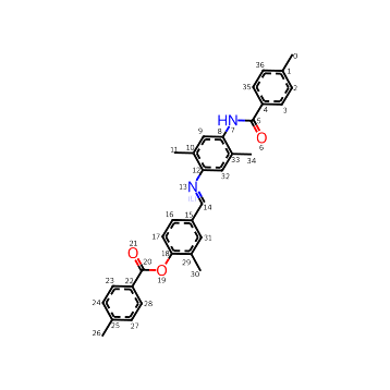 Cc1ccc(C(=O)Nc2cc(C)c(/N=C/c3ccc(OC(=O)c4ccc(C)cc4)c(C)c3)cc2C)cc1